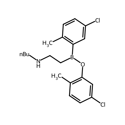 CCCCNCCB(Oc1cc(Cl)ccc1C)c1cc(Cl)ccc1C